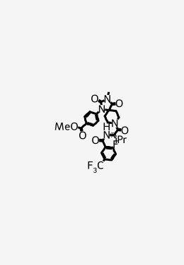 COC(=O)c1ccc(N2C(=O)N(C)C(=O)C23CCN(C(=O)[C@H](NC(=O)c2cc(C(F)(F)F)ccc2F)C(C)C)CC3)cc1